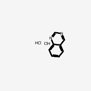 Cl.Cl.c1ccc2ncncc2c1